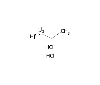 CCC.Cl.Cl.[Hf]